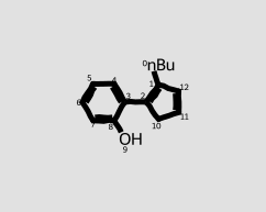 CCCCC1=C(c2ccccc2O)CC=C1